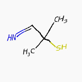 CC(C)(S)C=N